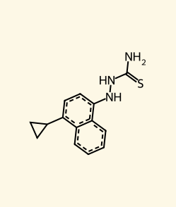 NC(=S)NNc1ccc(C2CC2)c2ccccc12